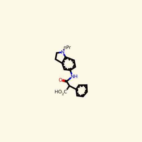 CCCN1CCc2cc(NC(=O)C(C(=O)O)c3ccccc3)ccc21